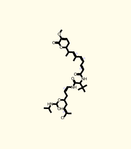 COC1=CCC(C(C)/C=C(C)/C=C\C=C\C(=O)NC(C(=O)N/C=C\CC(C/C=C(\C)Cl)OC(O)NC(C)C)C(C)(C)C)OC1=O